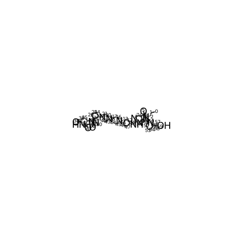 C=CCn1c(=O)c2cnc(Nc3ccc(N4CCC(N5CCN(c6cccc7c6n(C)c(=O)n7[C@@H]6CCC(=O)NC6=O)CC5)CC4)cc3)nc2n1-c1cccc(C(C)(C)O)n1